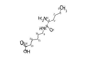 CCCCC(N)C(=O)NCCCCCC(=O)O